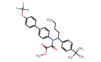 CCCCC(c1ccc(C(C)(C)C)cc1)N(C(=O)C(=O)OC)c1ccc(-c2ccc(OC(F)(F)F)cc2)cc1